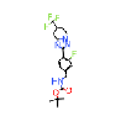 CC(C)(C)OC(=O)NCc1ccc(-c2nc3n(n2)CCC(C(F)(F)F)C3)c(F)c1